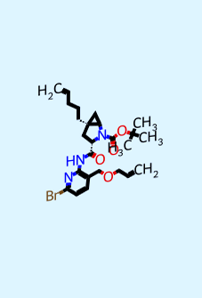 C=CCCC[C@]12CC1N(C(=O)OC(C)(C)C)[C@H](C(=O)Nc1nc(Br)ccc1COCC=C)C2